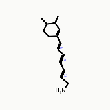 CC1C=C(/C=C/C=C/C=C/CN)CCC1C